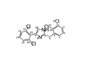 Clc1cccc(Cc2nc(-c3c(Cl)cccc3Cl)c[nH]2)c1Cl